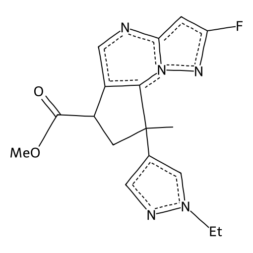 CCn1cc(C2(C)CC(C(=O)OC)c3cnc4cc(F)nn4c32)cn1